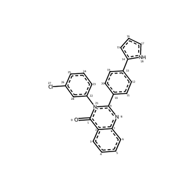 O=c1c2ccccc2nc(-c2ccc(-c3ccc[nH]3)cc2)n1-c1cccc(Cl)c1